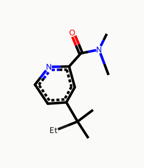 CCC(C)(C)c1ccnc(C(=O)N(C)C)c1